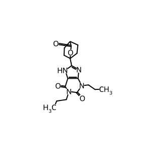 CCCn1c(=O)c2[nH]c(C34CCC(CC3)C(=O)O4)nc2n(CCC)c1=O